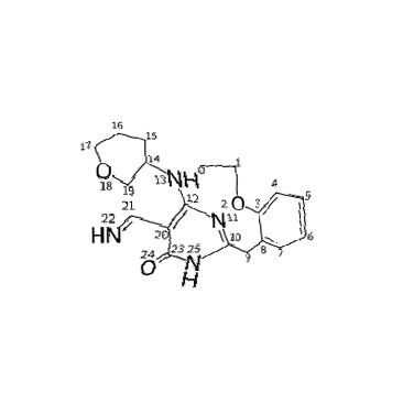 CCOc1ccccc1Cc1nc(NC2CCCOC2)c(C=N)c(=O)[nH]1